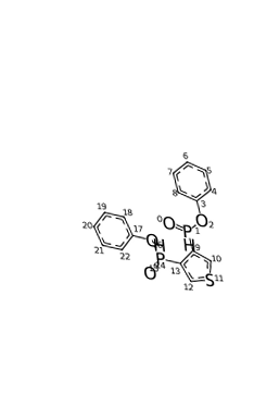 O=[PH](Oc1ccccc1)c1cscc1[PH](=O)Oc1ccccc1